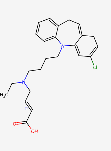 CCN(C/C=C/C(=O)O)CCCCN1C2=CC(Cl)=CCC2=CCc2ccccc21